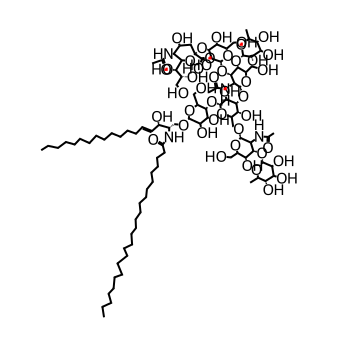 CCCCCCCCCCCCC/C=C/[C@@H](O)[C@H](CO[C@@H]1OC(CO)[C@@H](O[C@@H]2OC(CO[C@@H]3OC(CO)[C@@H](O)[C@H](O[C@H]4OC(C)[C@@H](O)C(O)[C@@H]4O)C3NC(C)=O)[C@H](O)[C@H](O[C@@H]3OC(CO)[C@@H](O[C@H]4OC(C)[C@@H](O)C(O)[C@@H]4O)[C@H](O[C@@H]4OC(CO)[C@H](O)[C@H](O[C@]5(C(=O)O)CC(O)[C@@H](NC(C)=O)C([C@H](O)[C@H](O)CO)O5)C4O)C3NC(C)=O)C2O)[C@H](O)C1O)NC(=O)CCCCCCCCCCCCCCCCCCCCCCC